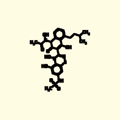 CC(=O)N(O)C1C(=O)C(C2=NSc3cc(NS(C)(=O)=O)cc(O)c3N2O)=C(O)c2c(CCC(C)C)cccc21